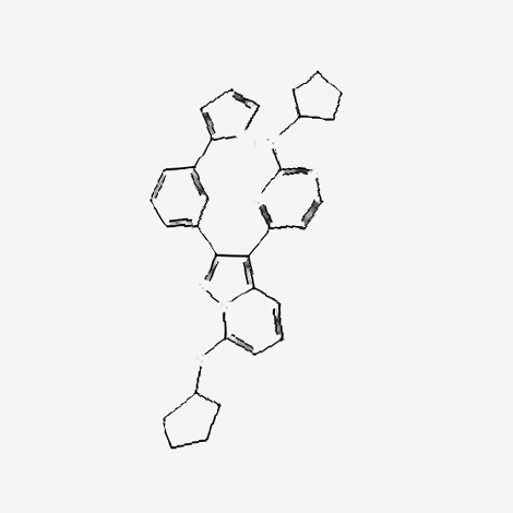 c1cc(-c2cccs2)cc(-c2nn3c(NC4CCCC4)cccc3c2-c2ccnc(NC3CCCC3)n2)c1